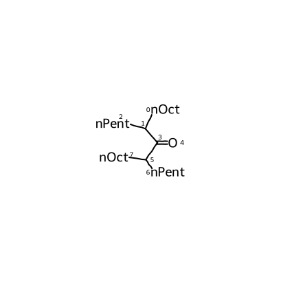 CCCCCCCCC(CCCCC)C(=O)C(CCCCC)CCCCCCCC